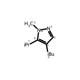 CCC(C)c1cnn(C)c1C(C)C